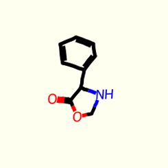 O=C1OCNC1c1ccccc1